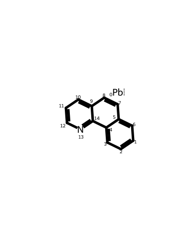 [Pb].c1ccc2c(c1)ccc1cccnc12